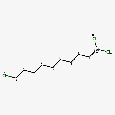 ClCCCCCCCCC[SiH](Cl)Cl